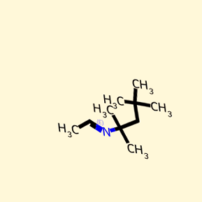 C/C=N/C(C)(C)CC(C)(C)C